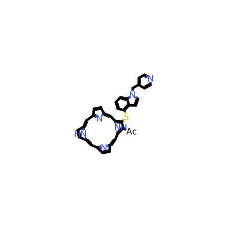 CC(=O)c1c(Sc2cccc3c2ccn3Cc2ccncc2)c2cc3nc(cc4ccc(cc5nc(cc1[nH]2)C=C5)[nH]4)C=C3